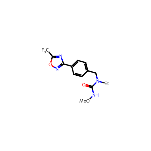 CCN(Cc1ccc(-c2noc(C(F)(F)F)n2)cc1)C(=O)NOC